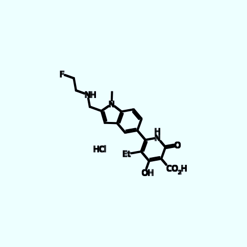 CCc1c(-c2ccc3c(c2)cc(CNCCF)n3C)[nH]c(=O)c(C(=O)O)c1O.Cl